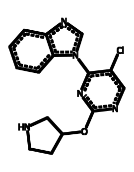 Clc1cnc(OC2CCNC2)nc1-n1cnc2ccccc21